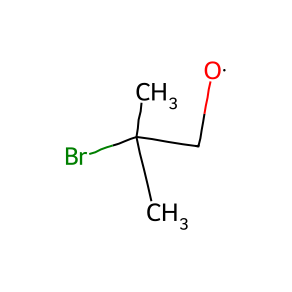 CC(C)(Br)C[O]